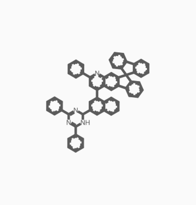 c1ccc(C2=NC(c3cc(-c4cc(-c5ccccc5)nc5cc6c(cc45)-c4ccccc4C64c5ccccc5-c5ccccc54)c4ccccc4c3)NC(c3ccccc3)=N2)cc1